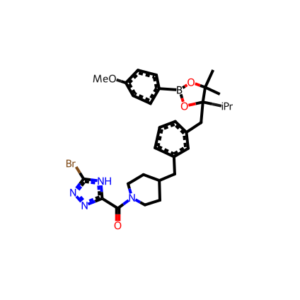 COc1ccc(B2OC(C)(C)C(Cc3cccc(CC4CCN(C(=O)c5nnc(Br)[nH]5)CC4)c3)(C(C)C)O2)cc1